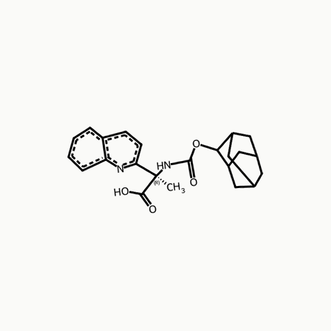 C[C@](NC(=O)OC1C2CC3CC(C2)CC1C3)(C(=O)O)c1ccc2ccccc2n1